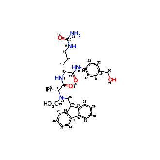 CC(C)[C@H](C(=O)N[C@H](CCCNC(N)=O)C(=O)Nc1ccc(CO)cc1)N(CC1c2ccccc2-c2ccccc21)C(=O)O